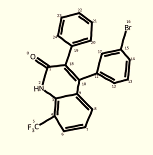 O=c1[nH]c2c(C(F)(F)F)cccc2c(-c2cccc(Br)c2)c1-c1ccccc1